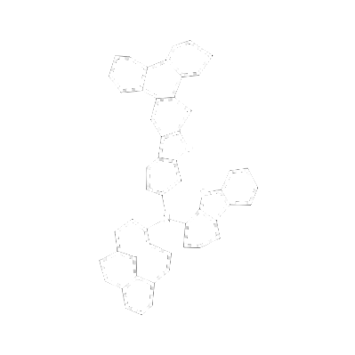 c1cc2ccc3ccc(N(c4ccc5c(c4)oc4cc6c7ccccc7c7ccccc7c6cc45)c4cccc5c4sc4ccccc45)c4ccc(c1)c2c34